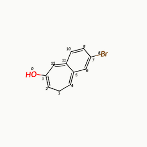 OC1=CCC=c2cc(Br)ccc2=C1